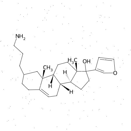 C[C@]12CC(CCCN)CCC1=CC[C@@H]1[C@H]2CC[C@@]2(C)[C@H]1CCC2(O)c1ccoc1